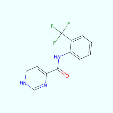 O=C(Nc1ccccc1C(F)(F)F)C1=CCNC=N1